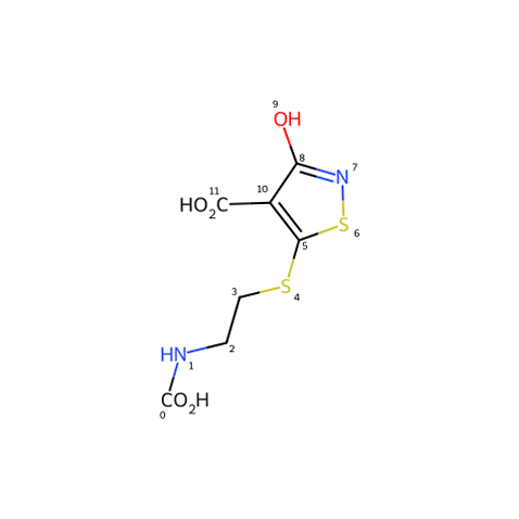 O=C(O)NCCSc1snc(O)c1C(=O)O